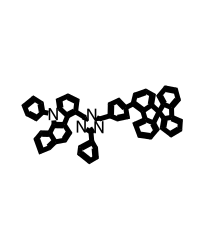 c1ccc(-c2nc(-c3ccc(-c4cccc5c4-c4ccccc4C54c5ccccc5-c5ccccc54)cc3)nc(-c3cccc4c3c3ccc5ccccc5c3n4-c3ccccc3)n2)cc1